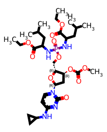 CCOC(=O)C(CC(C)C)NP(=O)(NC(CC(C)C)C(=O)OCC)OC[C@H]1O[C@@H](n2ccc(NC3CC3)nc2=O)C[C@H]1OC(=O)OC